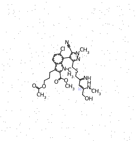 CN/C(=C\C(=N)CSCc1nn(C)c(C#N)c1-c1c(Cl)ccc2c(CCCOC(C)=O)c(C(=O)OC)n(C)c12)CO